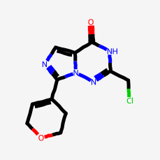 O=c1[nH]c(CCl)nn2c(C3=CCOCC3)ncc12